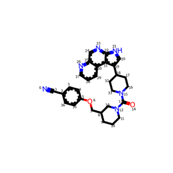 N#Cc1ccc(OCC2CCCN(C(=O)N3CCC(c4c[nH]c5ncc6ncccc6c45)CC3)C2)cc1